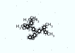 Cc1ccc2c(c1)c1cc(C)ccc1n2-c1ccc(N(c2ccc(-n3c4ccc(C(C)(C)C)cc4c4cc(C(C)(C)C)ccc43)cc2)c2ccc3oc4ccccc4c3c2)cc1